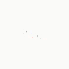 Cc1c(NC(=O)c2ccccc2[N+](=O)[O-])c(=O)oc2cc(O)ccc12